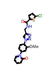 COc1cc(-n2ccccc2=O)ccc1-n1cc(CNC(=O)c2ccc(Cl)s2)nn1